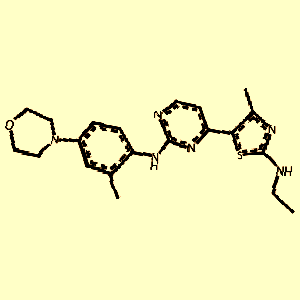 CCNc1nc(C)c(-c2ccnc(Nc3ccc(N4CCOCC4)cc3C)n2)s1